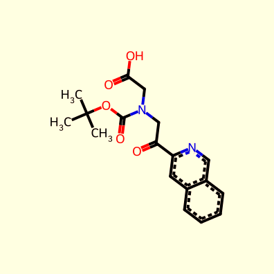 CC(C)(C)OC(=O)N(CC(=O)O)CC(=O)c1cc2ccccc2cn1